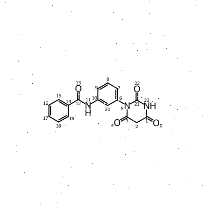 O=C1CC(=O)N(c2cccc(NC(=O)c3ccccc3)c2)C(=O)N1